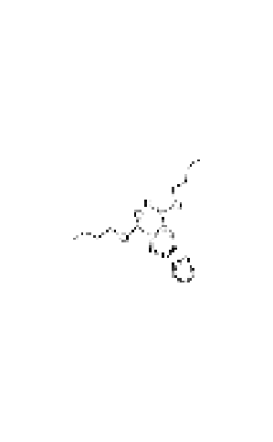 CCCCOC(=O)c1ccccc1C(=O)OCCCC.c1ccsc1